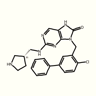 O=c1[nH]c2cnc(NC[C@@H]3CCNC3)nc2n1Cc1cc(-c2ccccc2)ccc1Cl